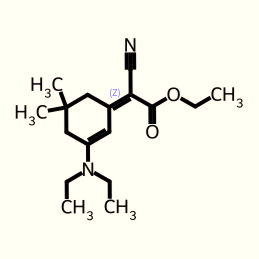 CCOC(=O)/C(C#N)=C1\C=C(N(CC)CC)CC(C)(C)C1